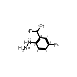 CCC(F)c1cc(F)ccc1NN